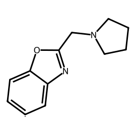 [c]1ccc2oc(CN3CCCC3)nc2c1